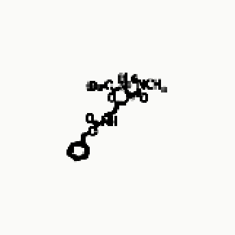 CN(C)C(=O)[C@H](CCCCNC(=O)OCc1ccccc1)NC(=O)OC(C)(C)C